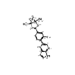 CC1(C)OB(c2ccc(-c3cnc4[nH]ccc4n3)c(F)c2)OC1(C)C